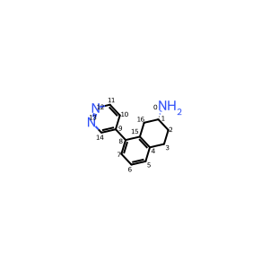 N[C@@H]1CCc2cccc(-c3ccnnc3)c2C1